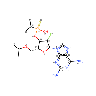 CC(C)OC[C@H]1O[C@@H](n2cnc3c(N)nc(N)nc32)C(F)C1OP(O)(=S)C(C)C